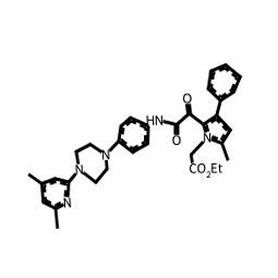 CCOC(=O)Cn1c(C)cc(-c2ccccc2)c1C(=O)C(=O)Nc1ccc(N2CCN(c3cc(C)cc(C)n3)CC2)cc1